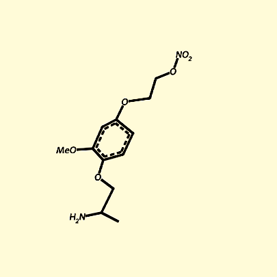 COc1cc(OCCO[N+](=O)[O-])ccc1OCC(C)N